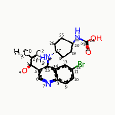 CC(C)C(=O)c1cnc2ccc(Br)cc2c1N[C@H]1CC[C@H](NC(=O)O)CC1